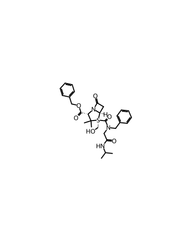 CC(C)NC(=O)CN(Cc1ccccc1)C(=O)[S@]1(CO)[C@@H]2CC(=O)N2[C@@H](C(=O)OCc2ccccc2)C1(C)C